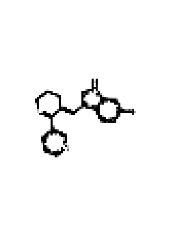 Fc1ccc2c(/C=C3\CCCN=C3c3cccnc3)c[nH]c2c1